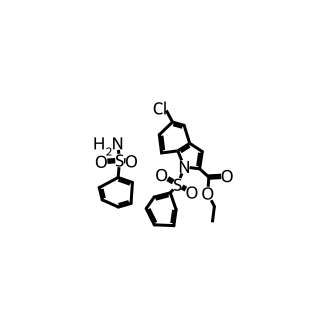 CCOC(=O)c1cc2cc(Cl)ccc2n1S(=O)(=O)c1ccccc1.NS(=O)(=O)c1ccccc1